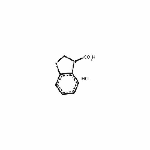 Cl.O=C(O)N1CSc2ccccc21